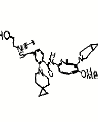 COc1ccc(NC(=O)c2ccc(SNCCO)cc2N2CCC3(CC2)CC3)nc1N1CC2CC2C1